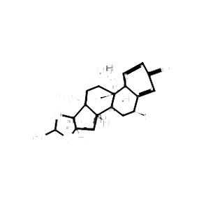 CCCC1O[C@@H]2C[C@H]3[C@@H]4C[C@H](F)C5=CC(=O)C=C[C@]5(C)[C@@]4(F)[C@@H](O)C[C@]3(C)[C@]2([S+](C)[O-])O1